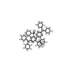 O=P(c1ccccc1)(c1nc(-c2ccccc2)nc(N(c2ccccc2)c2ccccc2)n1)c1nc(-c2ccccc2)nc(N(c2ccccc2)c2ccccc2)n1